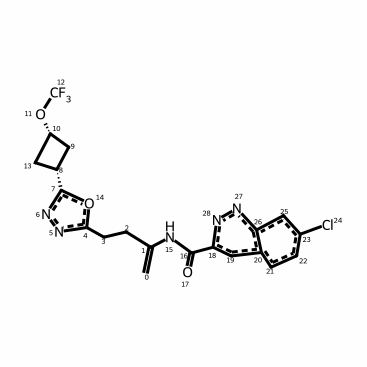 C=C(CCc1nnc([C@H]2C[C@@H](OC(F)(F)F)C2)o1)NC(=O)c1cc2ccc(Cl)cc2nn1